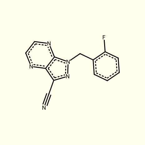 N#Cc1nn(Cc2ccccc2F)c2nccnc12